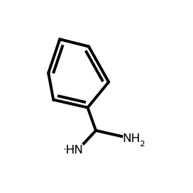 [NH]C(N)c1ccccc1